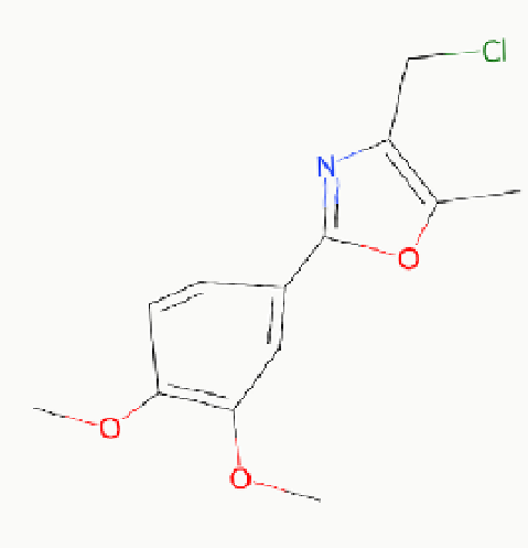 COc1ccc(-c2nc(CCl)c(C)o2)cc1OC